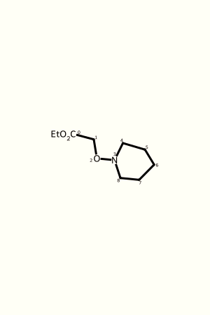 CCOC(=O)CON1CCCCC1